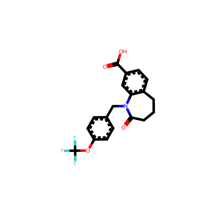 O=C(O)c1ccc2c(c1)N(Cc1ccc(OC(F)(F)F)cc1)C(=O)CCC2